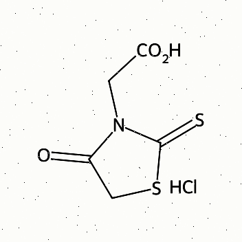 Cl.O=C(O)CN1C(=O)CSC1=S